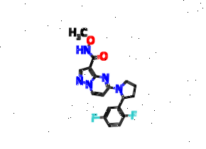 CONC(=O)c1cnn2ccc(N3CCCC3c3cc(F)ccc3F)nc12